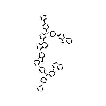 CC1(C)c2ccccc2-c2ccc(-c3ccc(N(c4ccc(-c5ccccc5)cc4)c4cccc(-c5cccc6c(-c7ccc8c(c7)-c7cccc(-c9ccc(N(c%10ccc(-c%11ccccc%11)cc%10)c%10cccc(-c%11cccc%12ccccc%11%12)c%10)cc9)c7C8(C)C)cccc56)c4)cc3)cc21